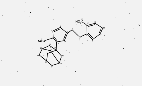 COc1ccc(CSc2ccccc2C(=O)O)cc1C12CC3CC(CC(C3)C1)C2